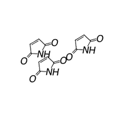 O=C1C=CC(=O)N1.O=C1C=CC(=O)N1.O=C1C=CC(=O)N1